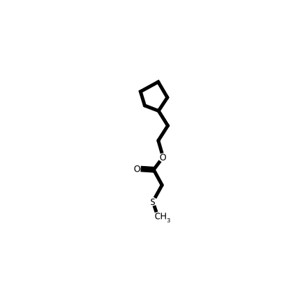 CSCC(=O)OCCC1CCCC1